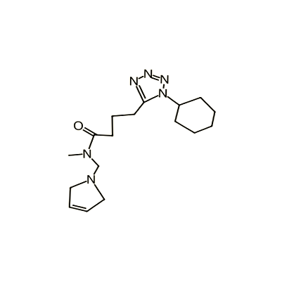 CN(CN1CC=CC1)C(=O)CCCc1nnnn1C1CCCCC1